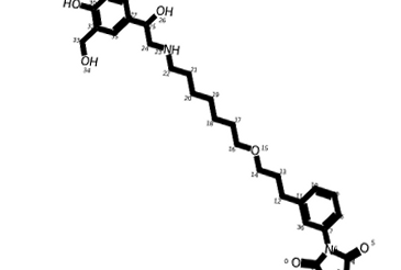 O=C1CNC(=O)N1c1cccc(CCCOCCCCCCCNCC(O)c2ccc(O)c(CO)c2)c1